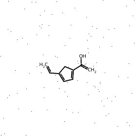 C=CC1=CC=C(C(=C)O)C1